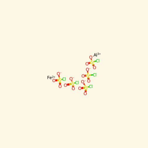 O=S(=O)([O-])Cl.O=S(=O)([O-])Cl.O=S(=O)([O-])Cl.O=S(=O)([O-])Cl.O=S(=O)([O-])Cl.[Al+3].[Fe+2]